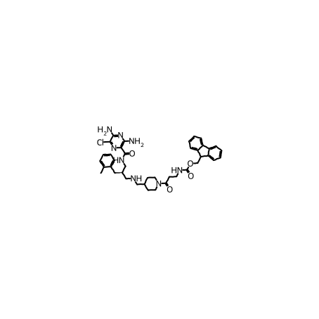 Cc1ccccc1C[C@H](CNCC1CCN(C(=O)CCNC(=O)OCC2c3ccccc3-c3ccccc32)CC1)CNC(=O)c1nc(Cl)c(N)nc1N